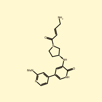 CNc1cc(-c2c[nH]c(=O)c(N[C@H]3CCN(C(=O)C=CCN)C3)c2)ccn1